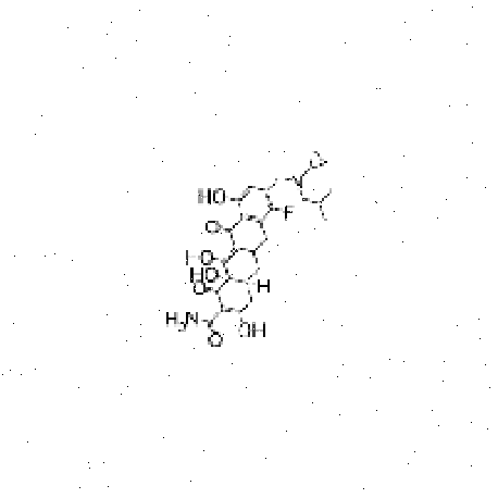 CC(C)CN(Cc1cc(O)c2c(c1F)CC1C[C@H]3CC(O)=C(C(N)=O)C(=O)[C@@]3(O)C(O)=C1C2=O)C1CC1